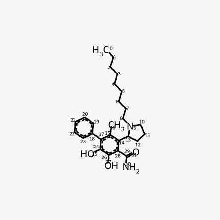 CCCCCCCCCN1CCCC1c1c(C)c(-c2ccccc2)c(O)c(O)c1C(N)=O